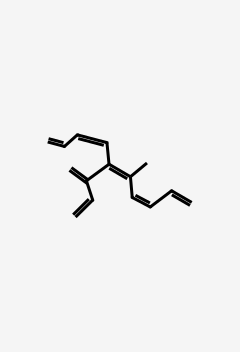 C=C\C=C/C(C)=C(/C=C\C=C)C(=C)C=C